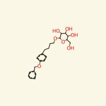 OCC1OC(OCCCCc2ccc(OCc3ccccc3)cc2)C(O)C(O)C1O